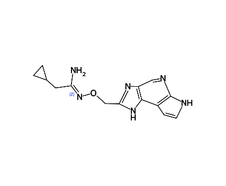 N/C(CC1CC1)=N\OCc1nc2cnc3[nH]ccc3c2[nH]1